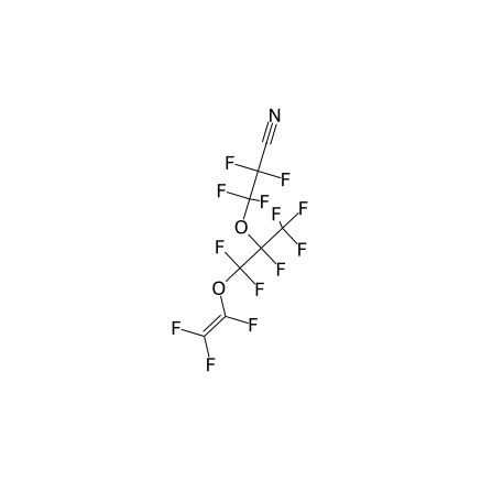 N#CC(F)(F)C(F)(F)OC(F)(C(F)(F)F)C(F)(F)OC(F)=C(F)F